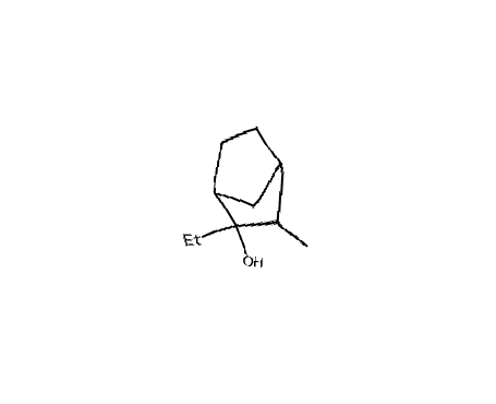 CCC1(O)C2CCC(C2)C1C